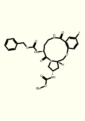 CC(C)(C)OC(=O)N[C@H]1C[C@H]2COc3ccc(F)cc3C(=O)NCC[C@H](NC(=O)OCc3ccccc3)C(=O)N2C1